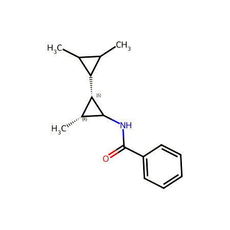 CC1C(C)C1[C@@H]1C(NC(=O)c2ccccc2)[C@@H]1C